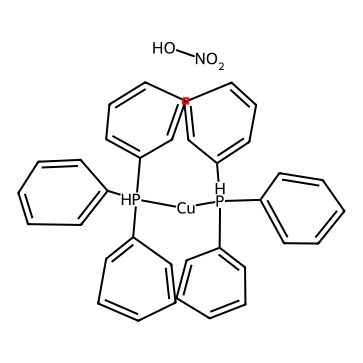 O=[N+]([O-])O.c1ccc([PH]([Cu][PH](c2ccccc2)(c2ccccc2)c2ccccc2)(c2ccccc2)c2ccccc2)cc1